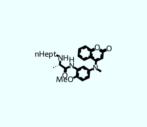 CCCCCCCN[C@@H](C)C(=O)Nc1cc(N(C)c2cc(=O)oc3ccccc23)ccc1OC